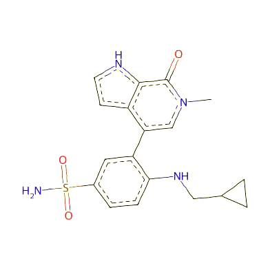 Cn1cc(-c2cc(S(N)(=O)=O)ccc2NCC2CC2)c2cc[nH]c2c1=O